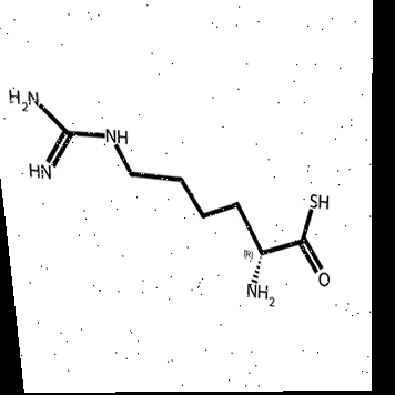 N=C(N)NCCCC[C@@H](N)C(=O)S